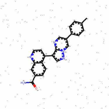 Cc1ccc(-c2cnc3c(-c4ccnc5cc(C(N)=O)ccc45)cnn3c2)cc1